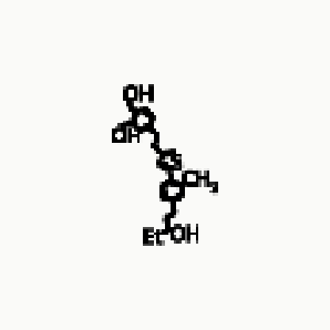 CCC(O)CCc1ccc(-c2cc(CCc3ccc(CO)c(CO)c3)cs2)c(C)c1